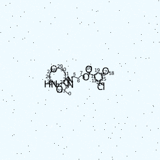 CCc1nn(CCCOC(=O)c2cc(Cl)cc(OC)c2)c2c1C(=O)NCCCOCCC2